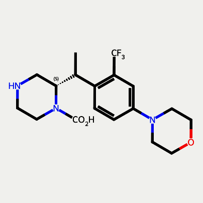 CC(c1ccc(N2CCOCC2)cc1C(F)(F)F)[C@H]1CNCCN1C(=O)O